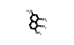 Nc1cc(N)c2c(N)c(N)ccc2c1